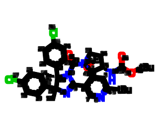 CCOc1cc(C(C)(C)C)ncc1C1=N[C@](C)(c2ccc(Cl)cc2)[C@@](C)(c2ccc(Cl)cc2)N1C(=O)N1CC[C@H](NC(=O)OC(C)(C)C)C1